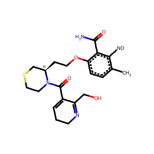 Cc1ccc(OCC[C@@H]2CSCCN2C(=O)C2=CCCN=C2CO)c(C(N)=O)c1N=O